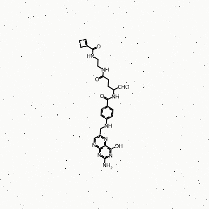 Nc1nc(O)c2nc(CNc3ccc(C(=O)NC(C=O)CCC(=O)NCCNC(=O)C4=CCC4)cc3)cnc2n1